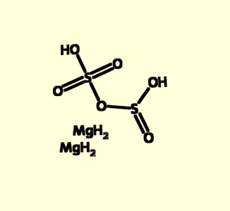 O=S(O)OS(=O)(=O)O.[MgH2].[MgH2]